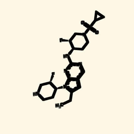 CCc1cc2cnc(N[C@@H]3CCN(S(=O)(=O)C4CC4)C[C@H]3F)nc2n1[C@@H]1CCNC[C@@H]1F